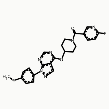 CSc1ccc(-n2ncc3c(OC4CCN(C(=O)c5ccc(F)nc5)CC4)ncnc32)cc1